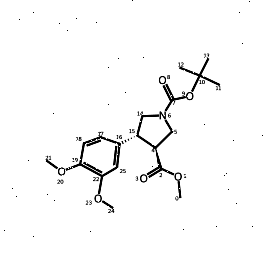 COC(=O)[C@@H]1CN(C(=O)OC(C)(C)C)C[C@H]1c1ccc(OC)c(OC)c1